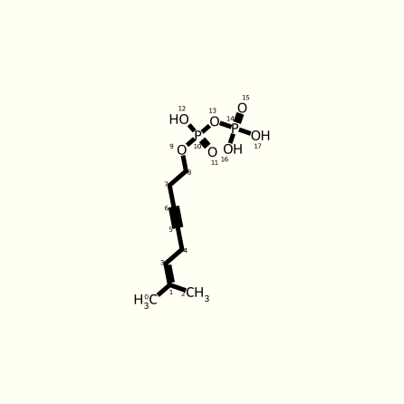 CC(C)=CCC#CCCOP(=O)(O)OP(=O)(O)O